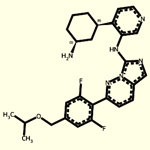 CC(C)OCc1cc(F)c(-c2ccc3cnc(Nc4cnccc4[C@@H]4CCC[C@H](N)C4)n3n2)c(F)c1